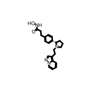 O=C(CCc1ccc([C@@H]2CCCN2CCc2cnn3ccccc23)cc1)NO